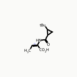 C/C=C(/NC(=O)C1CC1C(C)(C)C)C(=O)O